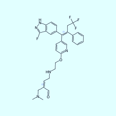 CN(C)C/C(C=O)=C/CNCCOc1ccc(/C(=C(/CC(F)(F)F)c2ccccc2)c2ccc3[nH]nc(F)c3c2)cn1